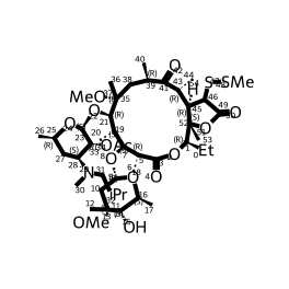 CC[C@H]1OC(=O)[C@H](C)[C@@H](O[C@H]2C[C@@](C)(OC)[C@@H](O)[C@H](C)O2)[C@H](C)[C@@H](O[C@@H]2O[C@H](C)C[C@H](N(C)CC(C)C)[C@H]2OC(C)=O)[C@](C)(OC)C[C@@H](C)C(=O)[C@H](C)[C@H]2C(SSC)C(=O)O[C@@]21C